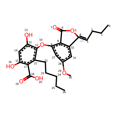 CCC/C=C1\OC(=O)c2c(Oc3c(O)cc(O)c(C(=O)O)c3CCCCC)cc(OC)cc21